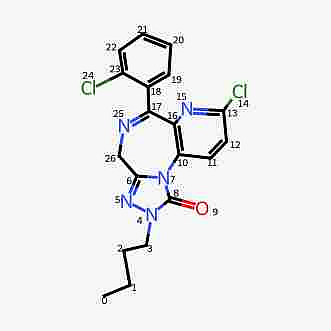 CCCCn1nc2n(c1=O)-c1ccc(Cl)nc1C(c1ccccc1Cl)=NC2